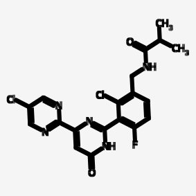 CC(C)C(=O)NCc1ccc(F)c(-c2nc(-c3ncc(Cl)cn3)cc(=O)[nH]2)c1Cl